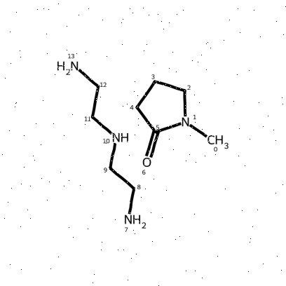 CN1CCCC1=O.NCCNCCN